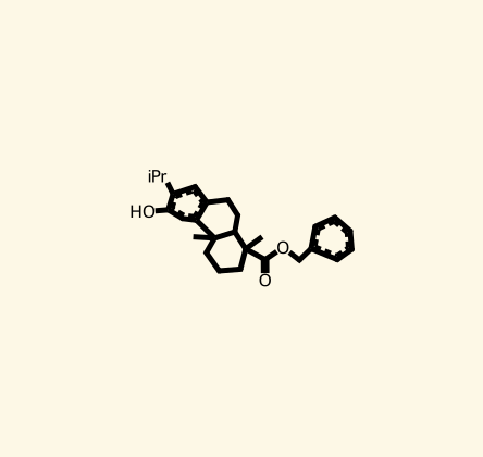 CC(C)c1cc2c(cc1O)C1(C)CCCC(C)(C(=O)OCc3ccccc3)C1CC2